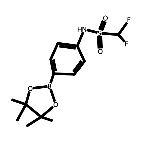 CC1(C)OB(c2ccc(NS(=O)(=O)C(F)F)cc2)OC1(C)C